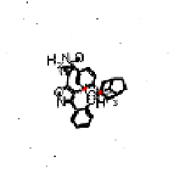 NS(=O)(=O)c1ccc(NC2C3CCC2CC(OCc2c(-c4ccccc4OC(F)(F)F)noc2C2CC2)C3)nc1